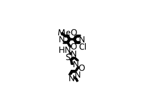 COc1cnc(Cl)cc1-c1cc(C)ncc1C(=O)Nc1nc2c(s1)CN(C(=O)c1ccnc(C)n1)C2